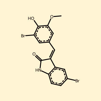 COc1cc(/C=C2\C(=O)Nc3ccc(Br)cc32)cc(Br)c1O